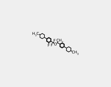 CC1CCC(c2ccc(C(C)OC(F)(F)c3ccc(C4CCC(C)CC4)cc3F)cc2)CC1